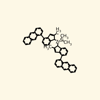 CC1=Cc2c(-c3cccc4cc5ccccc5cc34)cccc2[CH]1[Zr]([CH]1C(C)=Cc2c(-c3cccc4cc5ccccc5cc34)cccc21)=[Si](C)C